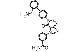 NCc1ccccc1-c1ccc(-n2cnc3ncn(-c4cccc(C(N)=O)c4)c3c2=O)cc1